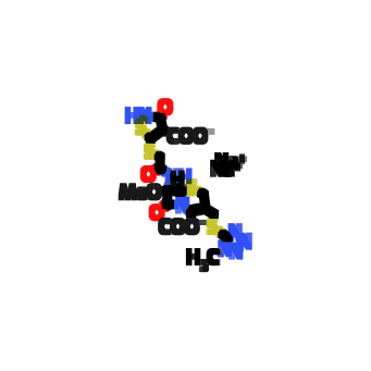 COC1(NC(=O)CSC2SNC(=O)C2C(=O)[O-])C(=O)N2C(C(=O)[O-])=C(CSc3nnnn3C)CS[C@@H]21.[Na+].[Na+]